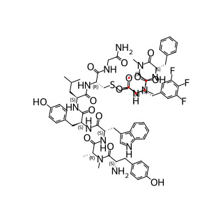 CC(C)C[C@H](NC(=O)[C@H](Cc1ccc(O)cc1)NC(=O)[C@H](Cc1c[nH]c2ccccc12)NC(=O)[C@@H](C)N(C)C(=O)[C@@H](N)Cc1ccc(O)cc1)C(=O)N[C@@H](CSCC(=O)N[C@@H](Cc1cc(F)c(F)c(F)c1)C(=O)N(C)[C@@H](Cc1ccccc1)C(=O)N(C)[C@@H](C)C(O)N(C)[C@H](C)C=O)C(=O)NCC(N)=O